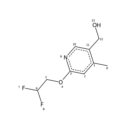 Cc1cc(OCC(F)F)ncc1CO